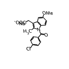 COc1ccc2c(c1)c(CC(=O)[O-])c(C)n2C(=O)c1ccc(Cl)cc1.[Na+]